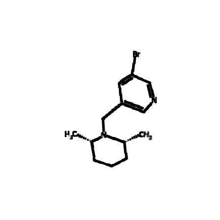 C[C@@H]1CCC[C@H](C)N1Cc1cncc(Br)c1